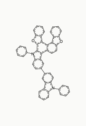 c1ccc(-n2c3ccccc3c3cc(-c4ccc5c(c4)c4c6ccc7oc8ccccc8c7c6c6c7ccccc7oc6c4n5-c4ccccc4)ccc32)cc1